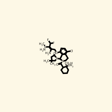 CN(N)/C(=C(\N)COc1ccc(Cl)c2c1C(N1CC(C)(C)CC1=O)N(C(=O)C1CCCC[C@]1(C)C(=O)O)CC2)C(F)F